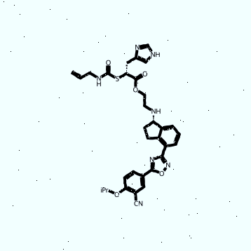 C=CCNC(=O)S[C@H](Cc1c[nH]cn1)C(=O)OCCN[C@H]1CCc2c(-c3noc(-c4ccc(OC(C)C)c(C#N)c4)n3)cccc21